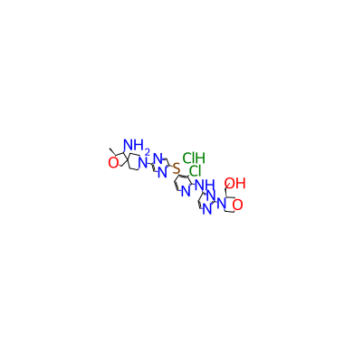 C[C@@H]1OCC2(CCN(c3cnc(Sc4ccnc(Nc5ccnc(N6CCOC[C@@H]6CO)n5)c4Cl)cn3)CC2)[C@@H]1N.Cl